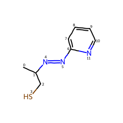 CC(CS)/N=N/c1ccccn1